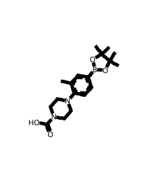 Cc1cc(B2OC(C)(C)C(C)(C)O2)ccc1N1CCN(C(=O)O)CC1